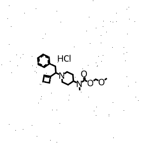 COCOC(=O)N(C)C1CCN(C(Cc2ccccc2)C2=CCC2)CC1.Cl